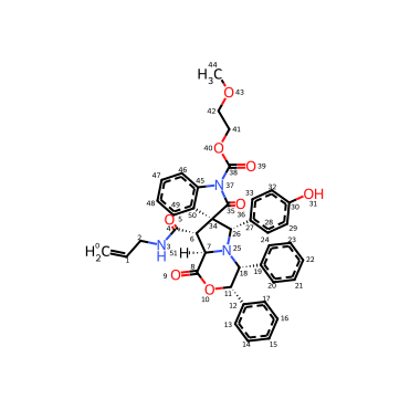 C=CCNC(=O)[C@H]1[C@@H]2C(=O)O[C@@H](c3ccccc3)[C@@H](c3ccccc3)N2[C@@H](c2ccc(O)cc2)[C@]12C(=O)N(C(=O)OCCOC)c1ccccc12